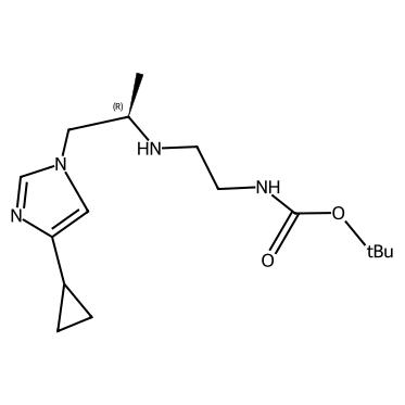 C[C@H](Cn1cnc(C2CC2)c1)NCCNC(=O)OC(C)(C)C